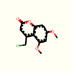 COc1cc(OC)c2c(CCl)cc(=O)oc2c1